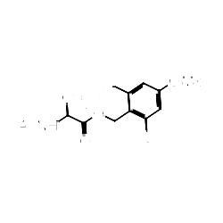 COc1cc(Cl)c(COC(=O)C(NC(C)=O)C(=O)O)c(Cl)c1